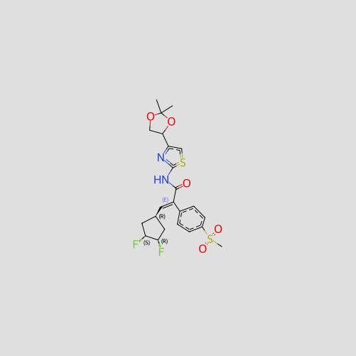 CC1(C)OCC(c2csc(NC(=O)/C(=C/[C@H]3C[C@@H](F)[C@@H](F)C3)c3ccc(S(C)(=O)=O)cc3)n2)O1